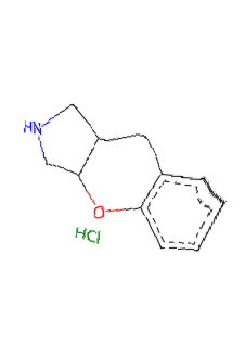 Cl.c1ccc2c(c1)CC1CNCC1O2